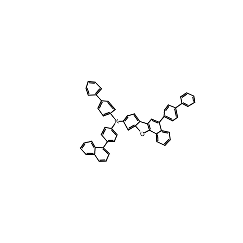 c1ccc(-c2ccc(-c3cc4c5ccc(N(c6ccc(-c7ccccc7)cc6)c6ccc(-c7cccc8ccccc78)cc6)cc5oc4c4ccccc34)cc2)cc1